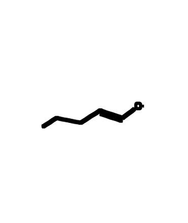 CCCC=C[O]